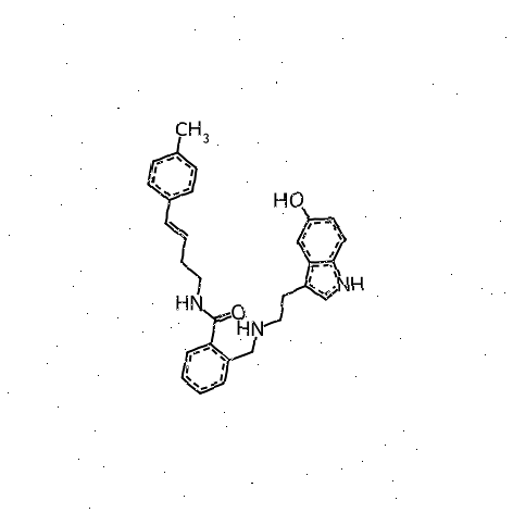 Cc1ccc(C=CCCNC(=O)c2ccccc2CNCCc2c[nH]c3ccc(O)cc23)cc1